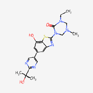 CCN1CN(C)CN(c2nc3cc(-c4cnc(C(C)(C)O)nc4)cc(O)c3s2)C1=O